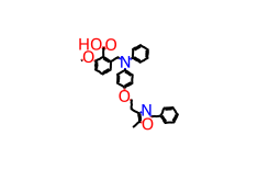 COc1cccc(CN(c2ccccc2)c2ccc(OCCc3nc(-c4ccccc4)oc3C)cc2)c1C(=O)O